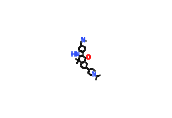 C/N=C\c1ccc2c3c([nH]c2c1)C(C)(C)c1ccc(C2=CCN(C(C)C)CC2)cc1C3=O